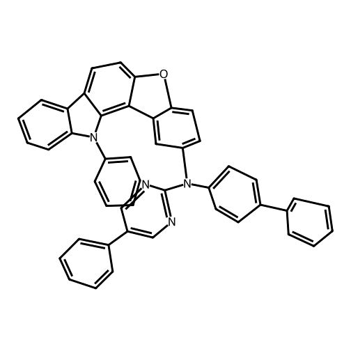 c1ccc(-c2ccc(N(c3ccc4oc5ccc6c7ccccc7n(-c7ccccc7)c6c5c4c3)c3ncc(-c4ccccc4)cn3)cc2)cc1